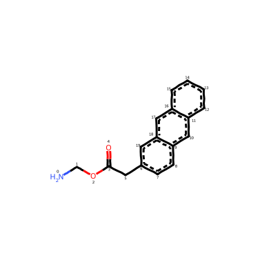 NCOC(=O)Cc1ccc2cc3ccccc3cc2c1